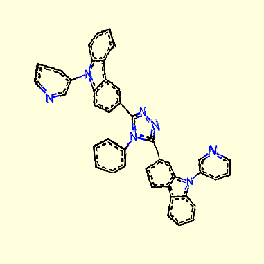 c1ccc(-n2c(-c3ccc4c(c3)c3ccccc3n4-c3cccnc3)nnc2-c2ccc3c4ccccc4n(-c4cccnc4)c3c2)cc1